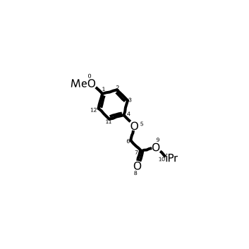 COc1ccc(OCC(=O)OC(C)C)cc1